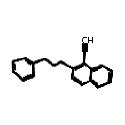 C#Cc1c(CCCc2ccccc2)ccc2ccccc12